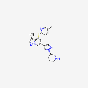 Cc1ccc(Sc2cc(-c3cnn(C4CCCNC4)c3)cn3ncc(C#N)c23)nc1